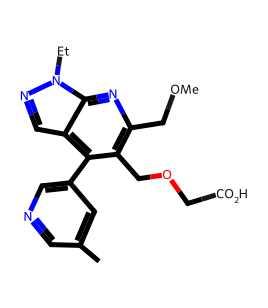 CCn1ncc2c(-c3cncc(C)c3)c(COCC(=O)O)c(COC)nc21